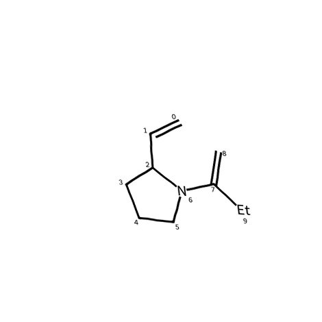 C=CC1CCCN1C(=C)CC